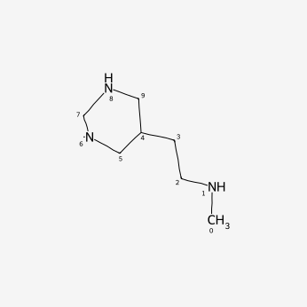 CNCCC1C[N]CNC1